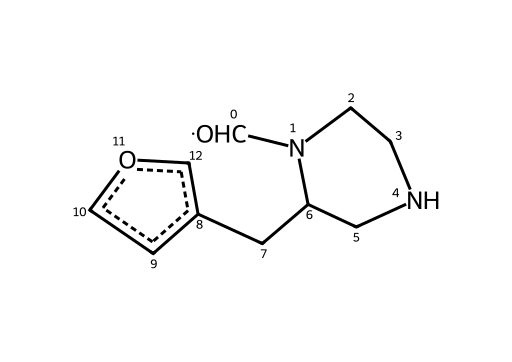 O=[C]N1CCNCC1Cc1ccoc1